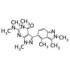 Cc1c(-c2nn(C)c3nc(N(C)C)n(C)c(=O)c23)ccc2nn(C)c(C)c12